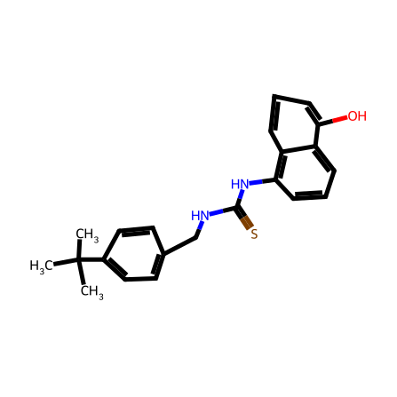 CC(C)(C)c1ccc(CNC(=S)Nc2cccc3c(O)cccc23)cc1